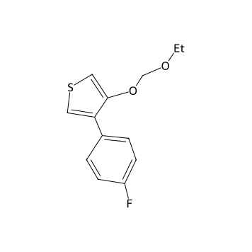 CCOCOc1cscc1-c1ccc(F)cc1